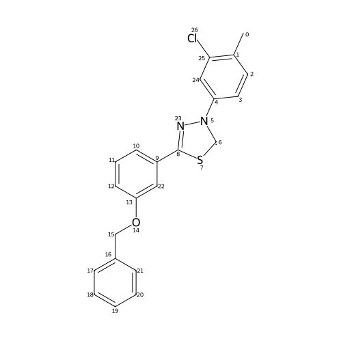 Cc1ccc(N2[CH]SC(c3cccc(OCc4ccccc4)c3)=N2)cc1Cl